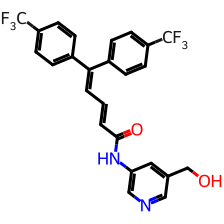 O=C(/C=C/C=C(c1ccc(C(F)(F)F)cc1)c1ccc(C(F)(F)F)cc1)Nc1cncc(CO)c1